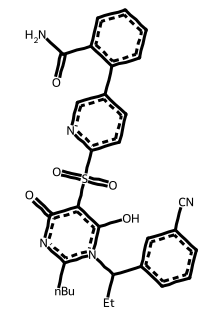 CCCCc1nc(=O)c(S(=O)(=O)c2ccc(-c3ccccc3C(N)=O)cn2)c(O)n1C(CC)c1cccc(C#N)c1